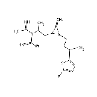 C=C1C(CC(C)N(C(C)=N)C(=N)C(C)C)N1CCC(C)c1ccc(F)s1